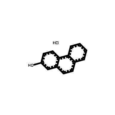 Cl.Oc1ccc2c(ccc3ccccc32)c1